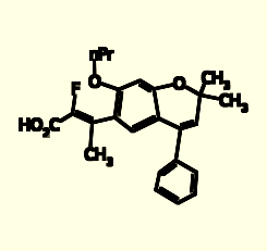 CCCOc1cc2c(cc1C(C)=C(F)C(=O)O)C(c1ccccc1)=CC(C)(C)O2